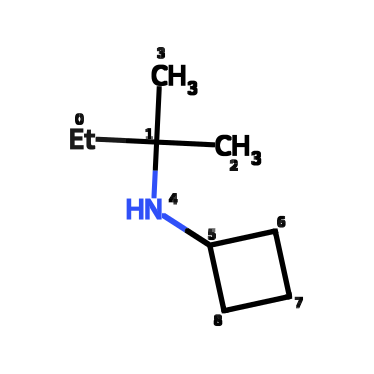 CCC(C)(C)NC1CCC1